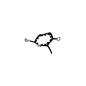 Cc1nc(Br)ccc1Cl